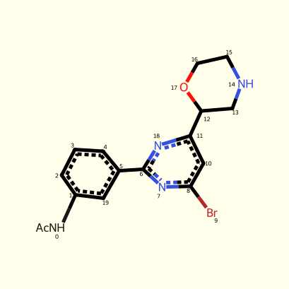 CC(=O)Nc1cccc(-c2nc(Br)cc(C3CNCCO3)n2)c1